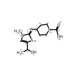 CC(O)c1cn(C)/c(=N/C2CCN(C(=O)O)CC2)s1